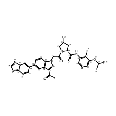 CC(=O)c1nn(CC(=O)N2C[C@H](F)C[C@H]2C(=O)Nc2cccc(OC(F)F)c2F)c2ccc(-c3cnc4ccnn4c3)cc12